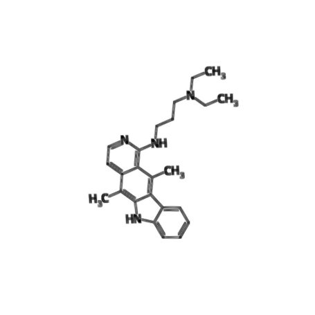 CCN(CC)CCCNc1nccc2c(C)c3[nH]c4ccccc4c3c(C)c12